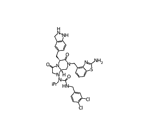 CC(C)N(C(=O)NCc1ccc(Cl)c(Cl)c1)N1CC(=O)N2[C@@H](Cc3ccc4c(c3)CNN4)C(=O)N(Cc3cccc4sc(N)nc34)C[C@@H]21